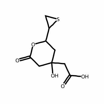 O=C(O)CC1(O)CC(=O)OC(C2CS2)C1